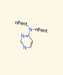 CCCCCN(CCCCC)c1ccncn1